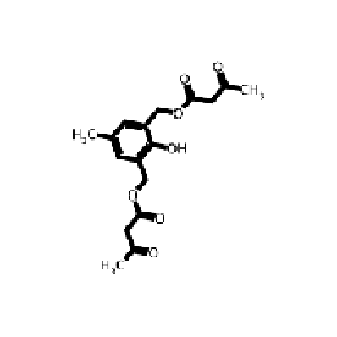 CC(=O)CC(=O)OCc1cc(C)cc(COC(=O)CC(C)=O)c1O